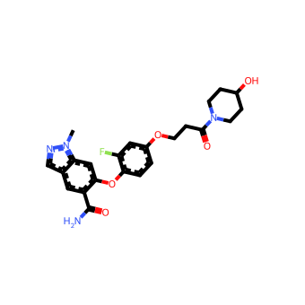 Cn1ncc2cc(C(N)=O)c(Oc3ccc(OCCC(=O)N4CCC(O)CC4)cc3F)cc21